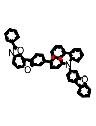 c1ccc(-c2nc3ccc4oc5cc(-c6ccc(N(c7ccc8c(c7)oc7ccccc78)c7ccccc7-c7ccccc7)cc6)ccc5c4c3o2)cc1